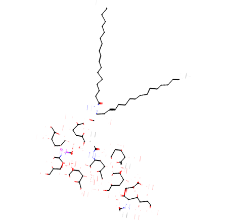 CCCCCCCCCCCCC/C=C/[C@@H](O)[C@H](CO[C@@H]1OC(CO)[C@@H](O[C@@H]2OC(CO)[C@H](O)[C@H](O[C@@H]3OC(CO)[C@@H](O[C@@H]4OC(CO)[C@H](O)[C@H](O[C@@H]5OC(CO)[C@@H](O[C@@H]6OC(CO)[C@H](O)[C@H](O[C@]7(C(=O)O)CC(O)[C@@H](NC(C)=O)C([C@H](O)[C@H](O)CO)O7)C6O)[C@H](O[C@H]6OC(C)[C@@H](O)C(O)[C@@H]6O)C5NC(C)=O)C4O)[C@H](O)C3NC(C)=O)C2O)[C@H](O)C1O)NC(=O)CCCCCCCCCCCCCCCCC